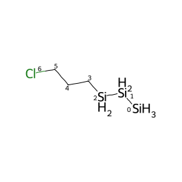 [SiH3][SiH2][SiH2]CCCCl